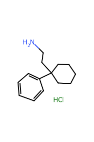 Cl.NCCC1(c2ccccc2)CCCCC1